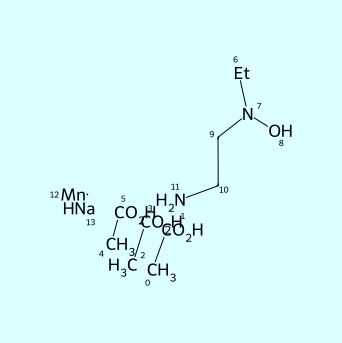 CC(=O)O.CC(=O)O.CC(=O)O.CCN(O)CCN.[Mn].[NaH]